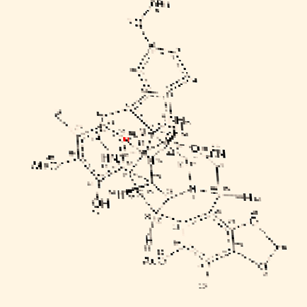 CCCCOc1ccc2[nH]c3c(c2c1)CCN[C@]31CS[C@@H]2c3c(OC(C)=O)c(C)c4c(c3[C@H](COC1=O)N1C2[C@@H]2c3c(cc(C)c(OC)c3O)C[C@H]([C@@H]1C#N)N2C)OCO4